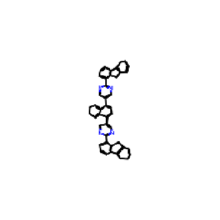 C1=CC2=C(CC1)c1cccc(-c3ncc(-c4ccc(-c5cnc(-c6cccc7c6CC6=C7CCC=C6)nc5)c5c4=CCCC=5)cn3)c1C2